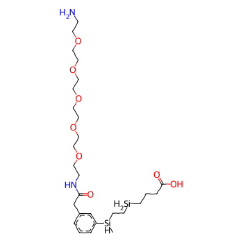 C[SiH](CC[SiH2]CCCC(=O)O)c1cccc(CC(=O)NCCOCCOCCOCCOCCOCCN)c1